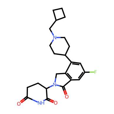 O=C1CCC(N2Cc3c(cc(F)cc3C3CCN(CC4CCC4)CC3)C2=O)C(=O)N1